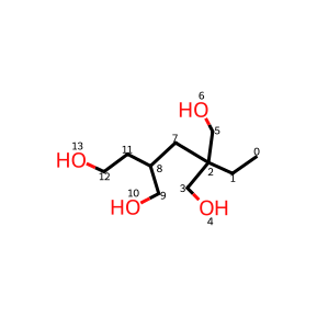 CCC(CO)(CO)CC(CO)CCO